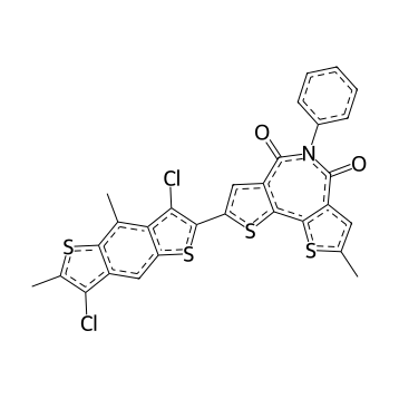 Cc1cc2c(=O)n(-c3ccccc3)c(=O)c3cc(-c4sc5cc6c(Cl)c(C)sc6c(C)c5c4Cl)sc3c2s1